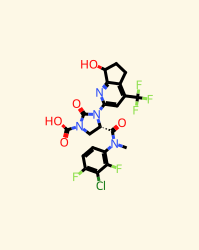 CN(C(=O)[C@@H]1CN(C(=O)O)C(=O)N1c1cc(C(F)(F)F)c2c(n1)C(O)CC2)c1ccc(F)c(Cl)c1F